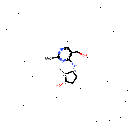 CSc1ncc(CO)c(N[C@@H]2CC[C@H](O)[C@@H]2C)n1